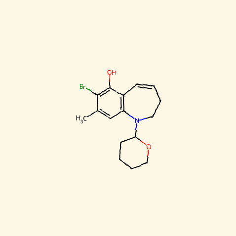 Cc1cc2c(c(O)c1Br)C=CCCN2C1CCCCO1